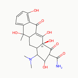 CN(C)C1C(O)C(C(N)=O)C(=O)[C@@]2(O)C(O)=C3C(=O)c4c(O)cccc4C(C)(O)C3CC12